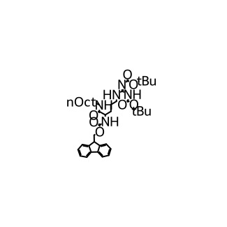 CCCCCCCCNC(=O)C(CCCNC(=NC(=O)OC(C)(C)C)NC(=O)OC(C)(C)C)NC(=O)OCC1c2ccccc2-c2ccccc21